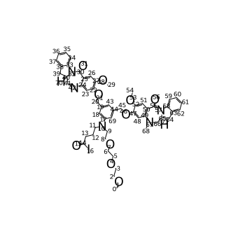 COCCOCCOCCN(CCCC(=O)I)c1cc(COc2cc3c(cc2OC)C(=O)N2c4ccccc4C[C@H]2C=N3)cc(COc2cc3c(cc2OC)C(=O)N2c4ccccc4C[C@H]2CN3C)c1